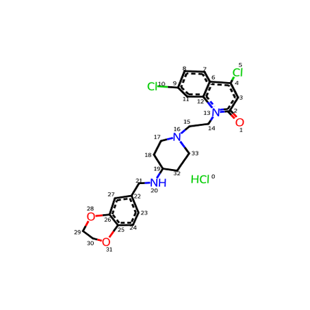 Cl.O=c1cc(Cl)c2ccc(Cl)cc2n1CCN1CCC(NCc2ccc3c(c2)OCCO3)CC1